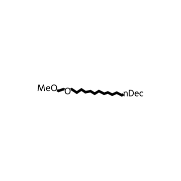 CCCCCCCCCCCCCCCCCCCCCCOCCOC